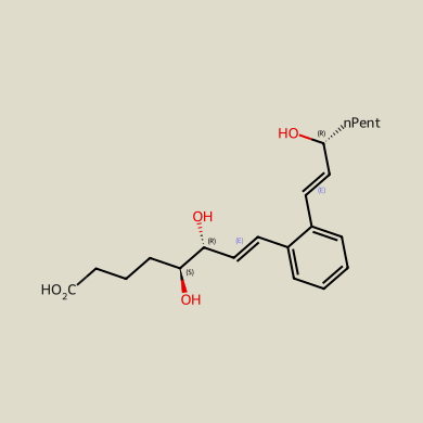 CCCCC[C@@H](O)/C=C/c1ccccc1/C=C/[C@@H](O)[C@@H](O)CCCC(=O)O